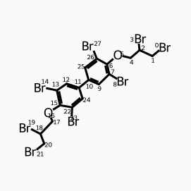 BrCC(Br)COc1c(Br)cc(-c2cc(Br)c(OCC(Br)CBr)c(Br)c2)cc1Br